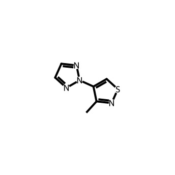 Cc1nscc1-n1nccn1